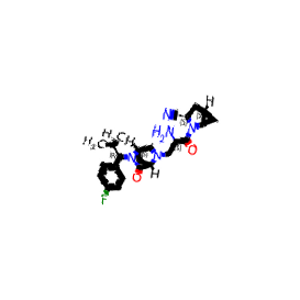 CC(C)[C@H](c1ccc(F)cc1)N1C(=O)[C@@H]2C[C@H]1CN2C[C@H](N)C(=O)N1C2C[C@H]2C[C@H]1C#N